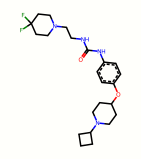 O=C(NCCN1CCC(F)(F)CC1)Nc1ccc(OC2CCN(C3CCC3)CC2)cc1